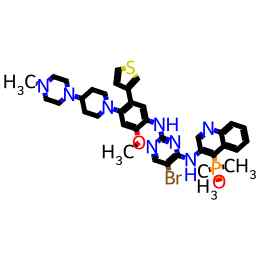 COc1cc(N2CCC(N3CCN(C)CC3)CC2)c(-c2ccsc2)cc1Nc1ncc(Br)c(Nc2cnc3ccccc3c2P(C)(C)=O)n1